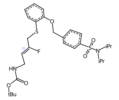 CC(C)N(C(C)C)S(=O)(=O)c1ccc(COc2ccccc2SC/C(F)=C/CNC(=O)OC(C)(C)C)cc1